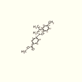 COC(=O)c1ccc(COc2ccc(C)cc2C(C)C)cc1